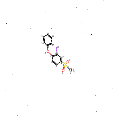 CS(=O)(=O)c1ccc(Oc2ccccc2)c(I)c1